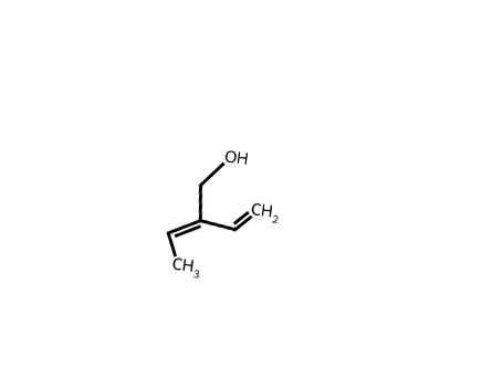 C=C/C(=C\C)CO